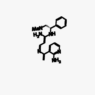 C=C(/N=C\C=C(/N)N[C@H](CNC)c1ccccc1)c1cccnc1N